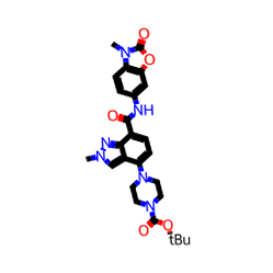 Cn1cc2c(N3CCN(C(=O)OC(C)(C)C)CC3)ccc(C(=O)Nc3ccc4c(c3)oc(=O)n4C)c2n1